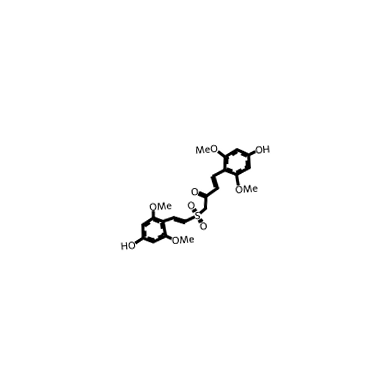 COc1cc(O)cc(OC)c1C=CS(=O)(=O)CC(=O)/C=C/c1c(OC)cc(O)cc1OC